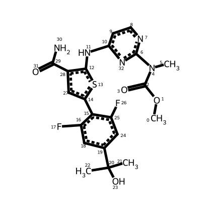 COC(=O)N(C)c1nccc(Nc2sc(-c3c(F)cc(C(C)(C)O)cc3F)cc2C(N)=O)n1